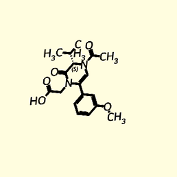 COc1cccc(C2=CN(C(C)=O)[C@@H](C(C)C)C(=O)N2CC(=O)O)c1